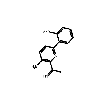 Bc1ccc(-c2ccccc2OC)nc1C(C)=N